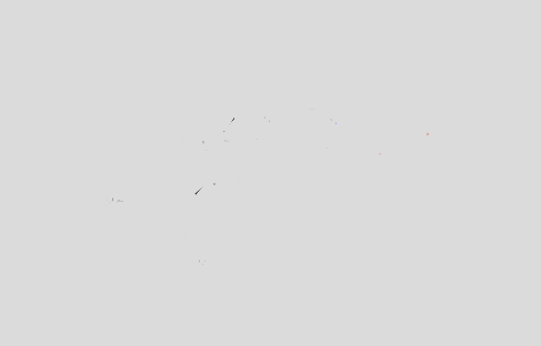 COc1cc([C@@H]2c3cc4c(cc3[C@@H](NC3=CC(=O)N(CC(O)CO)C3=O)[C@H]3COC(=O)[C@H]23)OCO4)cc(OC)c1O